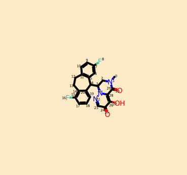 CN1CC(C2c3cc(F)ccc3CCc3c(F)cccc32)n2ncc(=O)c(O)c2C1=O